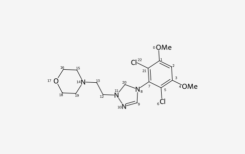 COc1cc(OC)c(Cl)c(N2C=NN(CCN3CCOCC3)C2)c1Cl